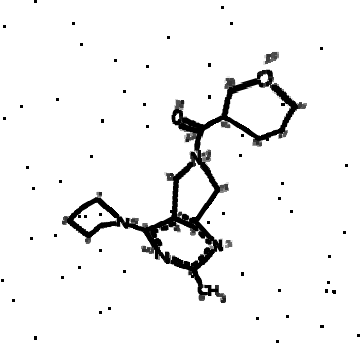 Cc1nc2c(c(N3CCC3)n1)CN(C(=O)C1CCCOC1)C2